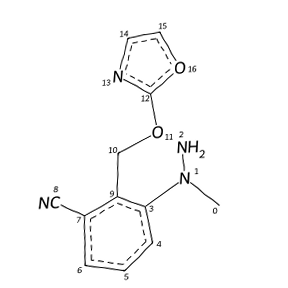 CN(N)c1cccc(C#N)c1COc1ncco1